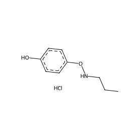 CCCNOc1ccc(O)cc1.Cl